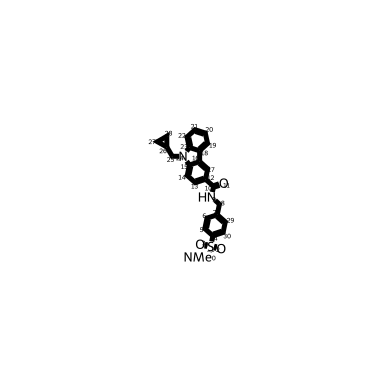 CNS(=O)(=O)c1ccc(CNC(=O)c2ccc3c(c2)c2ccccc2n3CC2CC2)cc1